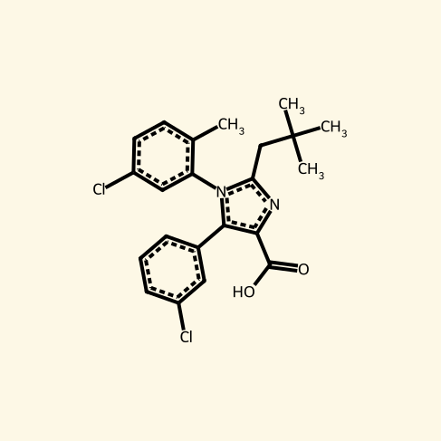 Cc1ccc(Cl)cc1-n1c(CC(C)(C)C)nc(C(=O)O)c1-c1cccc(Cl)c1